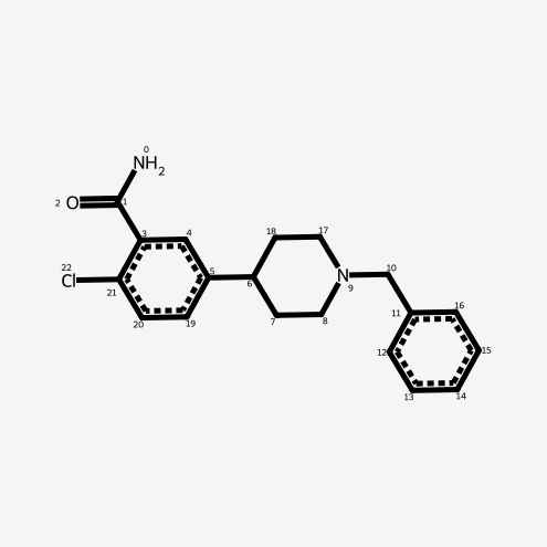 NC(=O)c1cc(C2CCN(Cc3ccccc3)CC2)ccc1Cl